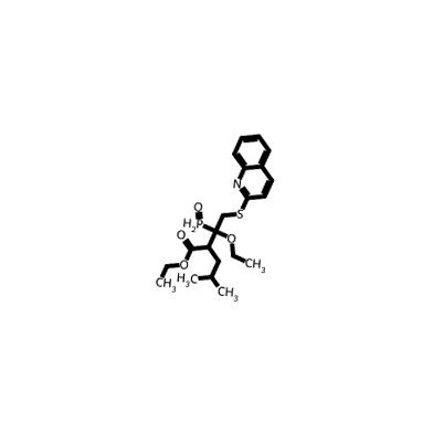 CCOC(=O)C(CC(C)C)C(CSc1ccc2ccccc2n1)(OCC)[PH2]=O